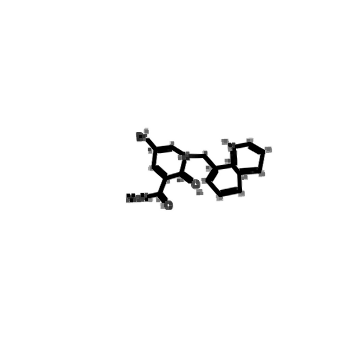 CNC(=O)c1cc(Br)cn(Cc2cccc3cccnc23)c1=O